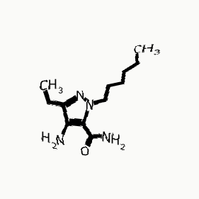 CCCCCCn1nc(CC)c(N)c1C(N)=O